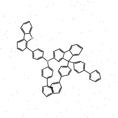 c1ccc(-c2ccc(N(c3ccc(-c4cccc5c4oc4ccccc45)cc3)c3ccc4c(c3)C(c3ccc(-c5ccccc5)cc3)(c3ccc(-c5ccccc5)cc3)c3ccccc3-4)cc2)cc1